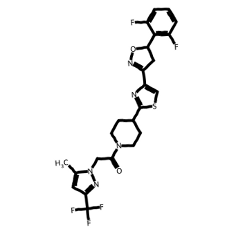 Cc1cc(C(F)(F)F)nn1CC(=O)N1CCC(c2nc(C3=NOC(c4c(F)cccc4F)C3)cs2)CC1